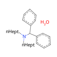 CCCCCCCN(CCCCCCC)C(c1ccccc1)c1ccccc1.O